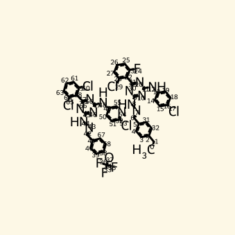 CCc1ccc(C=NNc2nc(Nc3ccc(Cl)cc3)nc(-c3c(F)cccc3Cl)n2)cc1.FC(F)(F)Oc1ccc(C=NNc2nc(Nc3ccc(Cl)nc3)nc(-c3c(Cl)cccc3Cl)n2)cc1